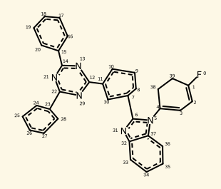 FC1=CC=C(n2c(-c3cccc(-c4nc(-c5ccccc5)nc(-c5ccccc5)n4)c3)nc3ccccc32)CC1